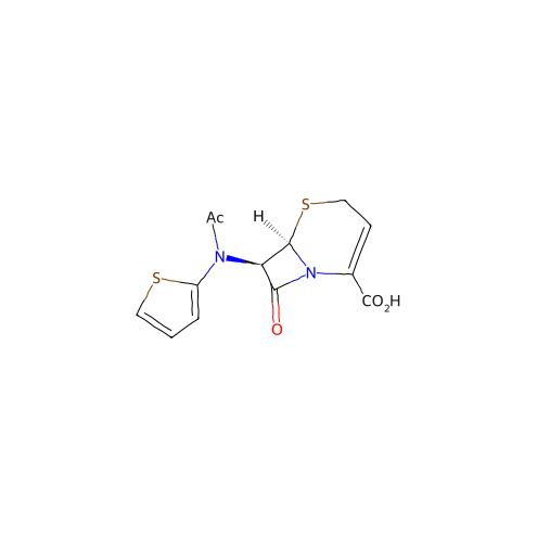 CC(=O)N(c1cccs1)[C@@H]1C(=O)N2C(C(=O)O)=CCS[C@H]12